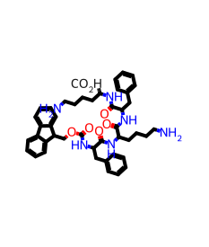 NCCCCC(NC(=O)C(Cc1ccccc1)NC(=O)C(CCCCN)NC(=O)C(Cc1ccccc1)NC(=O)OCC1c2ccccc2-c2ccccc21)C(=O)O